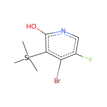 C[Si](C)(C)c1c(O)ncc(F)c1Br